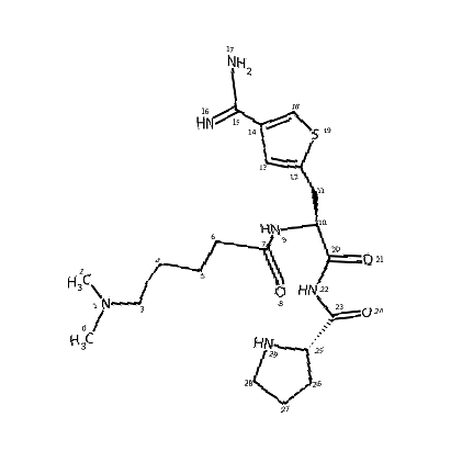 CN(C)CCCCC(=O)N[C@@H](Cc1cc(C(=N)N)cs1)C(=O)NC(=O)[C@@H]1CCCN1